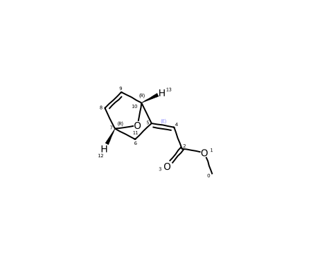 COC(=O)/C=C1\C[C@@H]2C=C[C@H]1O2